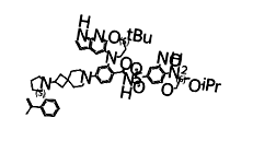 C=C(C)c1ccccc1[C@@H]1CCCN1C1CC2(CCN(c3ccc(C(=O)NS(=O)(=O)c4cc5c(c([N+](=O)[O-])c4)N[C@@H](COC(C)C)CO5)c(N4CC[C@@H](C(C)(C)C)Oc5nc6[nH]ccc6cc54)c3)CC2)C1